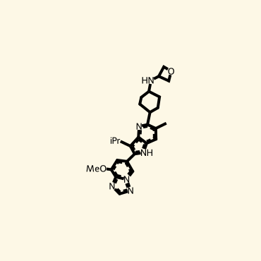 COc1cc(-c2[nH]c3cc(C)c(C4CCC(NC5COC5)CC4)nc3c2C(C)C)cn2ncnc12